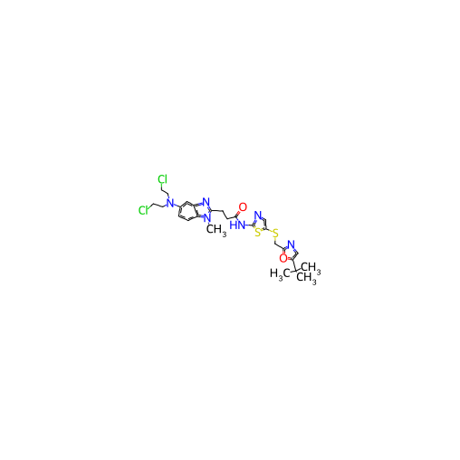 Cn1c(CCC(=O)Nc2ncc(SCc3ncc(C(C)(C)C)o3)s2)nc2cc(N(CCCl)CCCl)ccc21